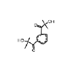 CC(C)(O)C(=O)c1cccc(C(=O)C(C)(C)O)c1